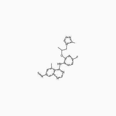 Cc1cc(N=S)cc2ncnc(Nc3ccc(F)cc3OC(C)Cn3ccnc3C)c12